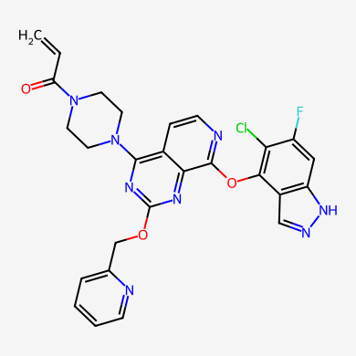 C=CC(=O)N1CCN(c2nc(OCc3ccccn3)nc3c(Oc4c(Cl)c(F)cc5[nH]ncc45)nccc23)CC1